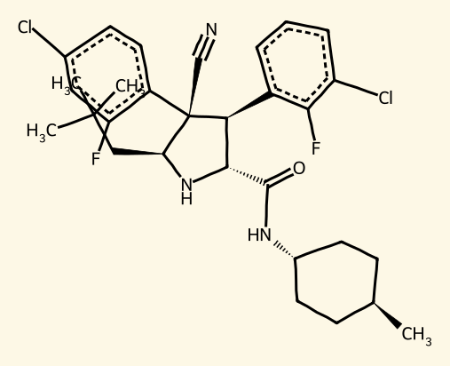 CC(C)(C)C[C@@H]1N[C@@H](C(=O)N[C@H]2CC[C@H](C)CC2)[C@H](c2cccc(Cl)c2F)[C@@]1(C#N)c1ccc(Cl)cc1F